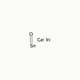 [Ge].[In].[O]=[Sn]